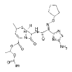 CC(OC(=O)C1=CC(C)S[C@H]2C(NC(=O)C(=NOC3CCCC3)c3nsc(N)n3)C(=O)N12)OC(=O)C(C)C